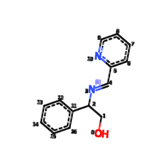 OCC(/N=C/c1ccccn1)c1ccccc1